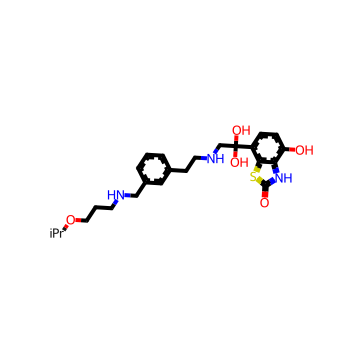 CC(C)OCCCNCc1cccc(CCNCC(O)(O)c2ccc(O)c3[nH]c(=O)sc23)c1